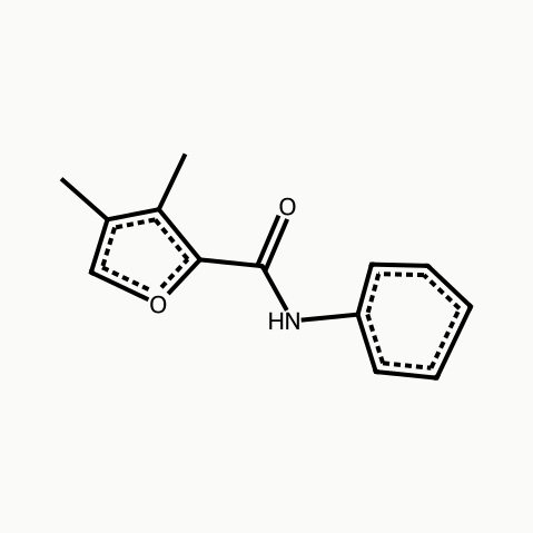 Cc1coc(C(=O)Nc2ccccc2)c1C